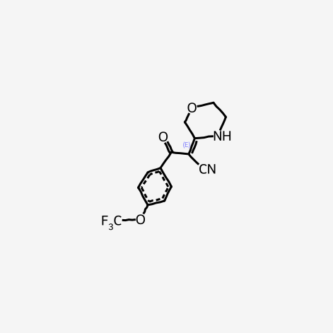 N#C/C(C(=O)c1ccc(OC(F)(F)F)cc1)=C1/COCCN1